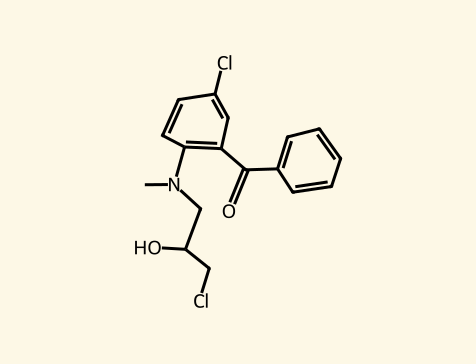 CN(CC(O)CCl)c1ccc(Cl)cc1C(=O)c1ccccc1